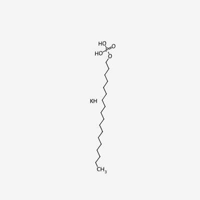 CCCCCCCCCCCCCCCCCCOP(=O)(O)O.[KH]